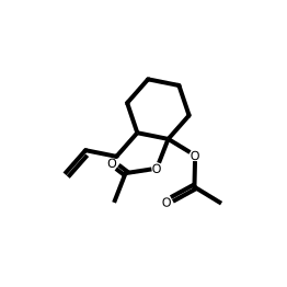 C=CCC1CCCCC1(OC(C)=O)OC(C)=O